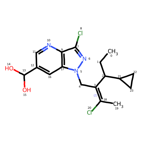 CCC(/C(Cn1nc(Cl)c2ncc(C(O)O)cc21)=C(\C)Cl)C1CC1